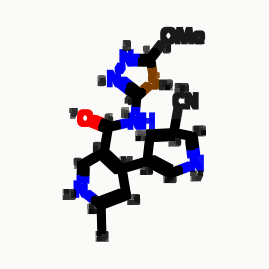 COc1nnc(NC(=O)c2cnc(C)cc2-c2cncc(C#N)c2)s1